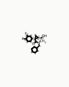 CN(Cc1ccccc1)C(=O)[C@@]1(c2ccc(F)c(F)c2)C[C@H]1CO